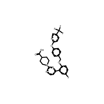 O=C(O)C1CCN(c2nccc(-c3cc(F)ccc3OCc3ccc(Oc4ccc(C(F)(F)F)cn4)cc3)n2)CC1